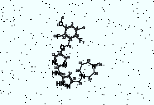 COc1cc(C)c(F)c(COc2cnc(Nc3cc(CN4CCCN(C)CC4)n[nH]3)nc2)c1F